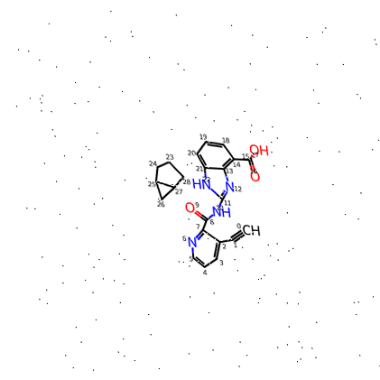 C#Cc1cccnc1C(=O)Nc1nc2c(C(=O)O)cccc2[nH]1.C1CC2CC2C1